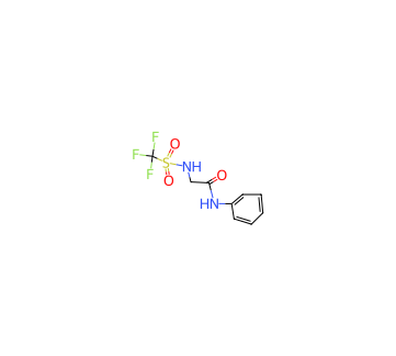 O=C(CNS(=O)(=O)C(F)(F)F)Nc1ccccc1